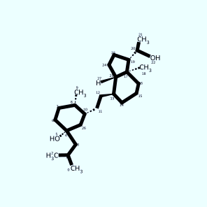 CC(C)C[C@@]1(O)CC[C@H](C)[C@H](CC[C@@H]2CCC[C@]3(C)[C@@H](C(C)O)CC[C@@H]23)C1